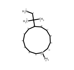 CC(C)(CN)C1CCCCCCN(P)CCCCC1